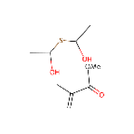 C=C(C)C(=O)OC.CC(O)SC(C)O